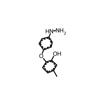 Cc1ccc(Oc2ccc(NN)cc2)c(O)c1